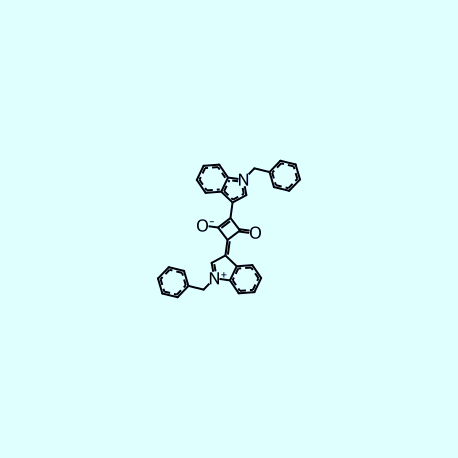 O=C1C(=C2C=[N+](Cc3ccccc3)c3ccccc32)C([O-])=C1c1cn(Cc2ccccc2)c2ccccc12